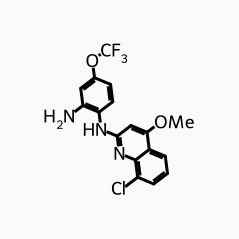 COc1cc(Nc2ccc(OC(F)(F)F)cc2N)nc2c(Cl)cccc12